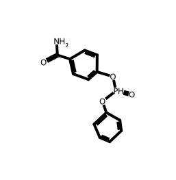 NC(=O)c1ccc(O[PH](=O)Oc2ccccc2)cc1